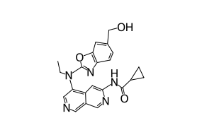 CCN(c1nc2ccc(CO)cc2o1)c1cncc2cnc(NC(=O)C3CC3)cc12